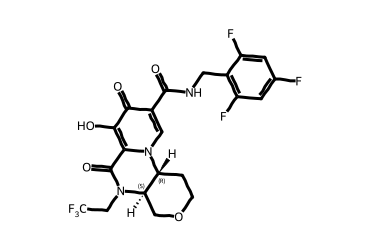 O=C(NCc1c(F)cc(F)cc1F)c1cn2c(c(O)c1=O)C(=O)N(CC(F)(F)F)[C@@H]1COCC[C@H]12